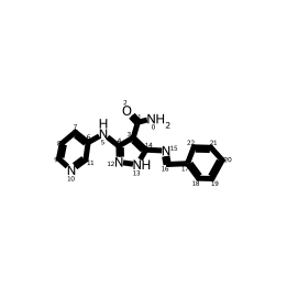 NC(=O)c1c(Nc2cccnc2)n[nH]c1N=Cc1ccccc1